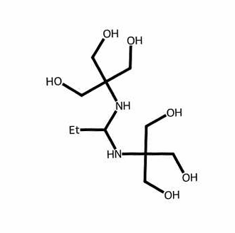 CCC(NC(CO)(CO)CO)NC(CO)(CO)CO